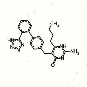 CCCCc1[nH]c(N)nc(=O)c1Cc1ccc(-c2ccccc2-c2nnn[nH]2)cc1